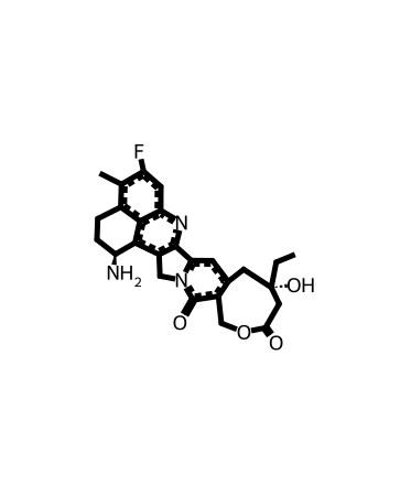 CC[C@@]1(O)CC(=O)OCc2c(cc3n(c2=O)Cc2c-3nc3cc(F)c(C)c4c3c2[C@@H](N)CC4)C1